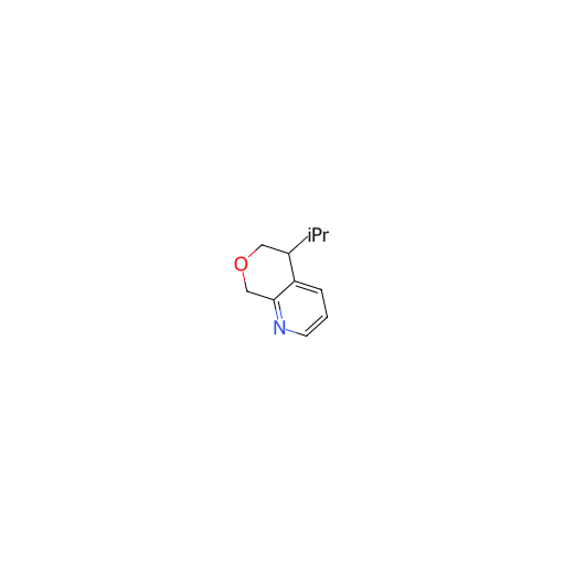 CC(C)C1COCc2ncccc21